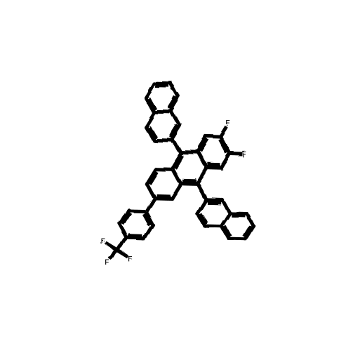 Fc1cc2c(-c3ccc4ccccc4c3)c3ccc(-c4ccc(C(F)(F)F)cc4)cc3c(-c3ccc4ccccc4c3)c2cc1F